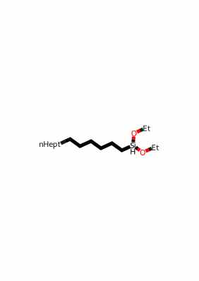 CCCCCCCCCCCCC[SiH](OCC)OCC